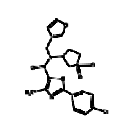 CCc1ccc(-c2nc(C)c(C(=O)N(Cc3ccoc3)C3CCS(=O)(=O)C3)s2)cc1